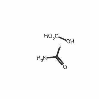 NC(=O)I.O=C(O)O